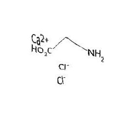 NCC(=O)O.[Ca+2].[Cl-].[Cl-]